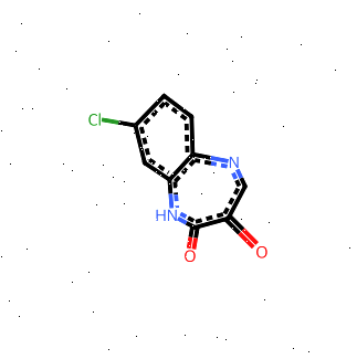 O=c1cnc2ccc(Cl)cc2[nH]c1=O